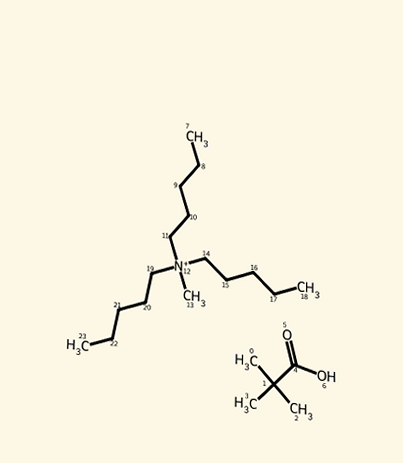 CC(C)(C)C(=O)O.CCCCC[N+](C)(CCCCC)CCCCC